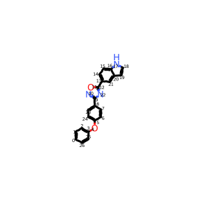 c1ccc(Oc2ccc(-c3noc(-c4ccc5[nH]ccc5c4)n3)cc2)cc1